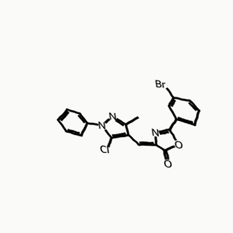 Cc1nn(-c2ccccc2)c(Cl)c1/C=C1\N=C(c2cccc(Br)c2)OC1=O